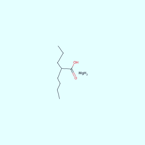 CCCCC(CCC)C(=O)O.[MgH2]